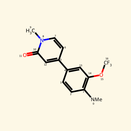 CNc1ccc(-c2ccn(C)c(=O)c2)cc1OC(F)(F)F